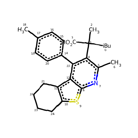 CCC(C)C(C)(C(=O)O)c1c(C)nc2sc3c(c2c1-c1ccc(C)cc1)CCCC3